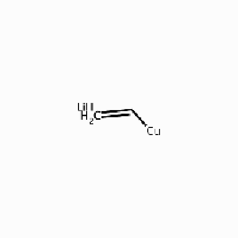 C=[CH][Cu].[LiH]